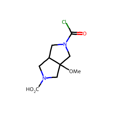 COC12CN(C(=O)O)CC1CN(C(=O)Cl)C2